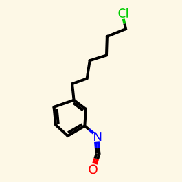 O=C=Nc1cccc(CCCCCCCl)c1